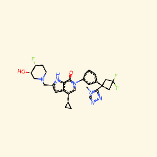 Cn1cnnc1C1(c2cccc(-n3cc(C4CC4)c4cc(CN5CC[C@@H](F)[C@H](O)C5)[nH]c4c3=O)c2)CC(F)(F)C1